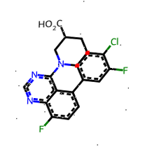 O=C(O)C1CCCN(c2ncnc3c(F)ccc(-c4ccc(Cl)c(F)c4)c23)C1